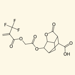 C=C(C(=O)OCC(=O)OC1C2CC3C1OC(=O)C3C2C(=O)O)C(F)(F)F